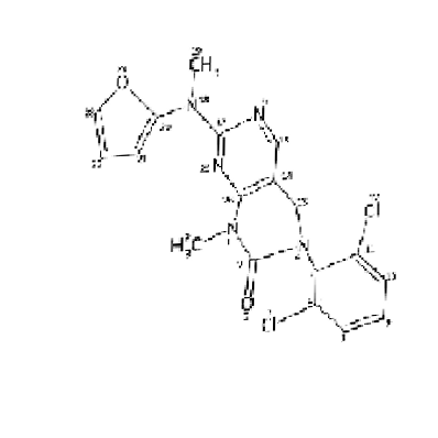 CN1C(=O)N(c2c(Cl)cccc2Cl)Cc2cnc(N(C)c3ccco3)nc21